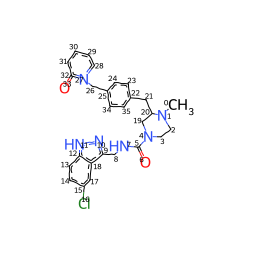 CN1CCN(C(=O)NCc2n[nH]c3ccc(Cl)cc23)CC1Cc1ccc(Cn2ccccc2=O)cc1